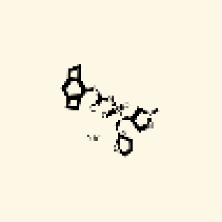 Cn1cc(N(C[C@@H]2CCCO2)S(=O)(=O)[N-]C(=O)Nc2c3c(cc4c2CC4)CC3)cn1.[Na+]